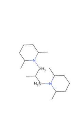 CC([SiH2]N1C(C)CCCC1C)[SiH2]N1C(C)CCCC1C